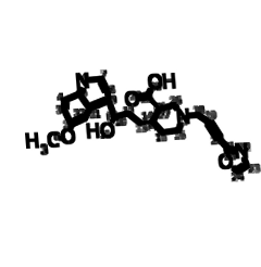 COc1ccc2nccc([C@H](O)CC[C@@H]3CCN(CC#Cc4ncco4)C[C@@H]3C(=O)O)c2c1